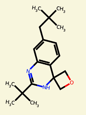 CC(C)(C)Cc1ccc2c(c1)N=C(C(C)(C)C)NC21COC1